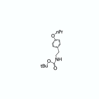 CCCOc1ccc(CCNC(=O)OC(C)(C)C)cc1